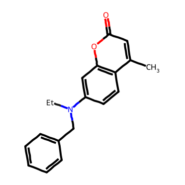 CCN(Cc1ccccc1)c1ccc2c(C)cc(=O)oc2c1